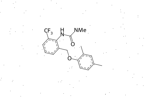 CNC(=O)Nc1c(COc2ccc(C)cc2C)cccc1C(F)(F)F